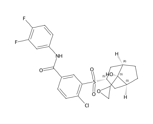 O=C(Nc1ccc(F)c(F)c1)c1ccc(Cl)c(S(=O)(=O)[C@@H]2C[C@H]3CC[C@@H](C2)[C@@]3(O)C2CO2)c1